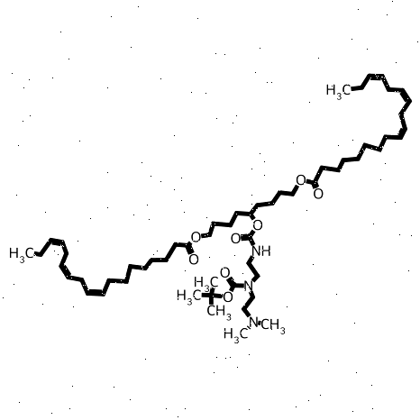 CC/C=C\C/C=C\C/C=C\CCCCCCCC(=O)OCCCCC(CCCCOC(=O)CCCCCCC/C=C\C/C=C\C/C=C\CC)OC(=O)NCCN(CCN(C)C)C(=O)OC(C)(C)C